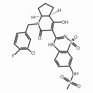 CS(=O)(=O)Nc1ccc2c(c1)S(=O)(=O)N=C(C1=C(O)[C@@H]3CCC[C@@H]3N(Cc3ccc(F)c(Cl)c3)C1=O)N2